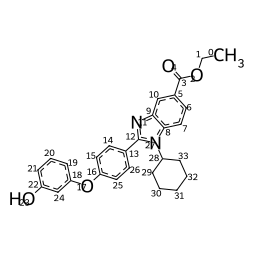 CCOC(=O)c1ccc2c(c1)nc(-c1ccc(Oc3cccc(O)c3)cc1)n2C1CCCCC1